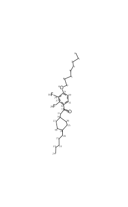 CCCCCCCCOc1ccc(C(=O)CC2CCC(CCCCC)CC2)c(F)c1F